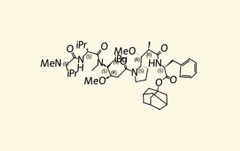 CC[C@H](C)[C@@H]([C@@H](CC(=O)N1CCC[C@H]1[C@H](OC)[C@@H](C)C(=O)N[C@@H](Cc1ccccc1)C(=O)OC12CC3CC(CC(C3)C1)C2)OC)N(C)C(=O)[C@@H](NC(=O)[C@@H](NC)C(C)C)C(C)C